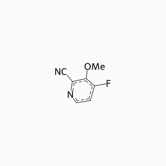 COc1c(F)ccnc1C#N